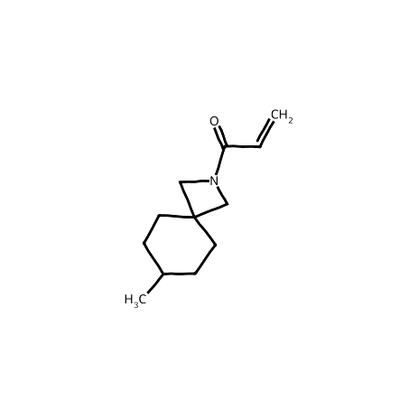 C=CC(=O)N1CC2(CCC(C)CC2)C1